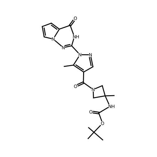 Cc1c(C(=O)N2CC(C)(NC(=O)OC(C)(C)C)C2)cnn1-c1nn2cccc2c(=O)[nH]1